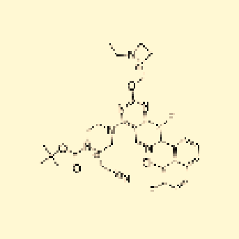 CCN1CC[C@@H]1COc1nc(N2CCN(C(=O)OC(C)(C)C)[C@@H](CC#N)C2)c2cnc(-c3cccc4ccc(F)c(Cl)c34)c(F)c2n1